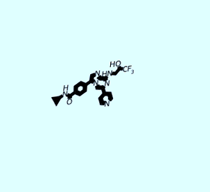 O=C(NC1CC1)c1ccc(-c2cnc3c(NCC(O)C(F)(F)F)nc(-c4ccncc4)cn23)cc1